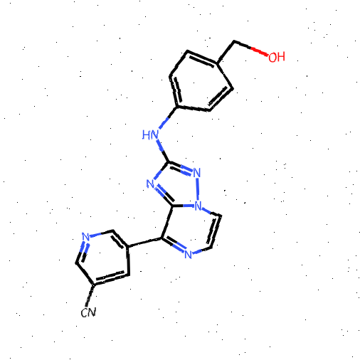 N#Cc1cncc(-c2nccn3nc(Nc4ccc(CO)cc4)nc23)c1